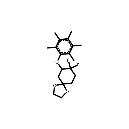 Cc1c(C)c(C)c(OC2CC3(CCC2(F)F)OCCO3)c(C)c1C